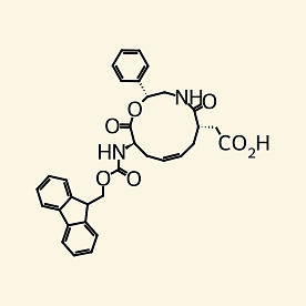 O=C(O)C[C@@H]1CC=CC[C@@H](NC(=O)OCC2c3ccccc3-c3ccccc32)C(=O)O[C@H](c2ccccc2)CNC1=O